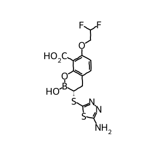 Nc1nnc(S[C@H]2Cc3ccc(OCC(F)F)c(C(=O)O)c3OB2O)s1